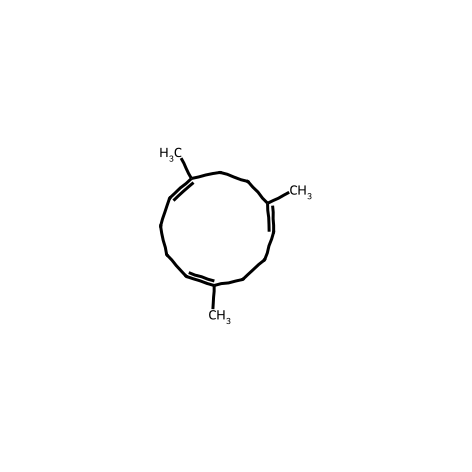 C/C1=C/CC/C=C(/C)CC/C(C)=C\CC1